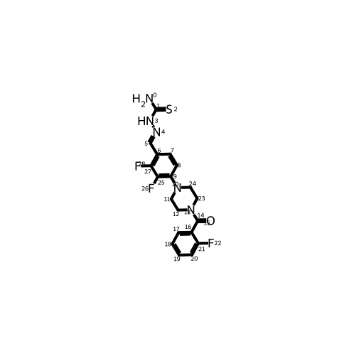 NC(=S)NN=Cc1ccc(N2CCN(C(=O)c3ccccc3F)CC2)c(F)c1F